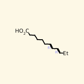 CC/C=C/C=C/CCCCCC(=O)O